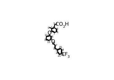 Cc1c(CC(=O)O)cccc1Oc1cccc(OC/C=C/c2ccc(C(F)(F)F)cc2)c1